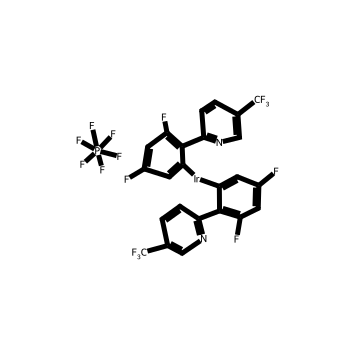 F[P-](F)(F)(F)(F)F.Fc1cc(F)c(-c2ccc(C(F)(F)F)cn2)[c]([Ir][c]2cc(F)cc(F)c2-c2ccc(C(F)(F)F)cn2)c1